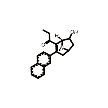 CCC(=O)C1=C(c2ccc3ccccc3c2)CC2CC(O)[C@@H]1N2C